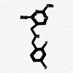 CNc1nc(SC)ncc1CNCc1ccc(F)cc1F